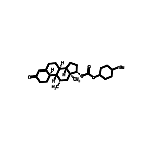 CCCCC1CCC(OC(=O)O[C@H]2CC[C@H]3[C@@H]4CCC5=CC(=O)CC[C@@H]5[C@H]4[C@@H](C)C[C@]23C)CC1